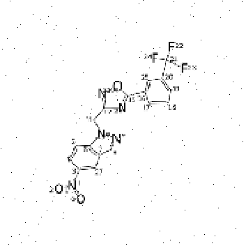 O=[N+]([O-])c1ccc2c(cnn2Cc2noc(-c3cccc(C(F)(F)F)c3)n2)c1